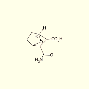 NC(=O)C1C2CC[C@H](O2)C1C(=O)O